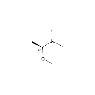 CO[C@@H](C)N(C)C